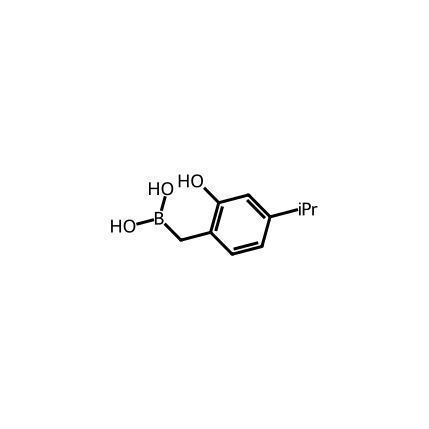 CC(C)c1ccc(CB(O)O)c(O)c1